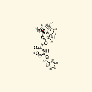 COC(=O)C(CO[C@H]1O[C@@H]2O[C@@]3(C)CC[C@H]4[C@H](C)CC[C@@H]([C@H]1C)[C@@]24OO3)NC(=O)OCc1ccccc1